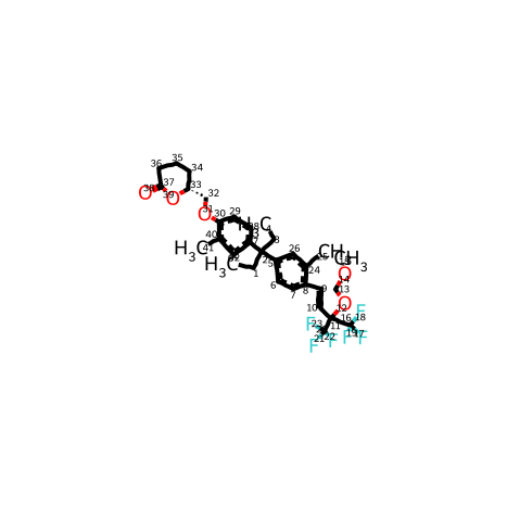 CCC(CC)(c1ccc(/C=C/C(OCOC)(C(F)(F)F)C(F)(F)F)c(C)c1)c1ccc(OC[C@H]2CCCC(=O)O2)c(C)c1